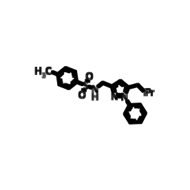 Cc1ccc(S(=O)(=O)NCc2cc(CC(C)C)n(-c3ccccc3)n2)cc1